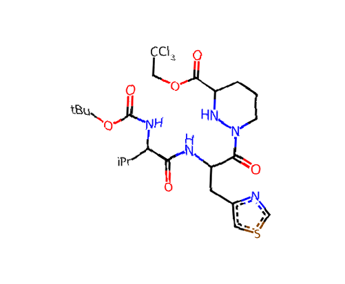 CC(C)C(NC(=O)OC(C)(C)C)C(=O)NC(Cc1cscn1)C(=O)N1CCCC(C(=O)OCC(Cl)(Cl)Cl)N1